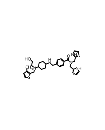 Cc1ccsc1CN(CCO)C1CCC(NCc2ccc(C(=O)N(Cc3ncc[nH]3)Cc3ncc[nH]3)cc2)CC1